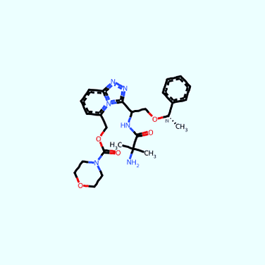 C[C@H](OCC(NC(=O)C(C)(C)N)c1nnc2cccc(COC(=O)N3CCOCC3)n12)c1ccccc1